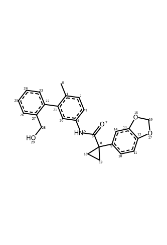 Cc1ccc(NC(=O)C2(c3ccc4c(c3)OCO4)CC2)cc1-c1ccccc1CO